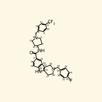 O=C(NC1CCN(Cc2ccc(C(F)(F)F)cc2)CC1)c1ccc2[nH]c3c(c2c1)CN(Cc1ccc(F)cc1)CC3